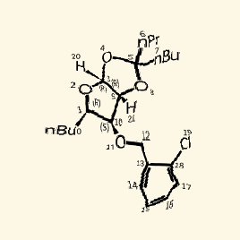 CCCC[C@H]1O[C@@H]2OC(CCC)(CCCC)O[C@@H]2[C@H]1OCc1ccccc1Cl